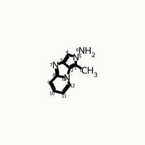 Cc1c2c(cn1N)nc1ccccn12